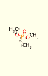 C[CH]P(=O)(OC)OC